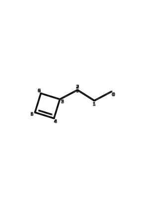 CC[CH]C1C=CC1